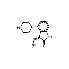 N/N=C1\C(=O)Nc2cccc(C3CCNCC3)c21